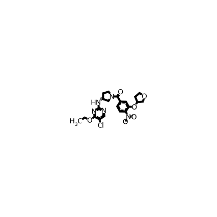 CCOc1nc(N[C@@H]2CCN(C(=O)c3ccc([N+](=O)[O-])c(OC4CCOC4)c3)C2)ncc1Cl